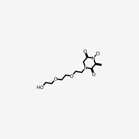 C=C1C(=O)N(CCOCCOCCO)CC(=O)N1Cl